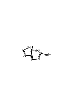 CCCc1ncc2nc[nH]c2n1